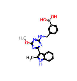 COc1nc(NCc2cccc(B(O)O)c2)nc(-c2c(C)[nH]c3ccccc23)n1